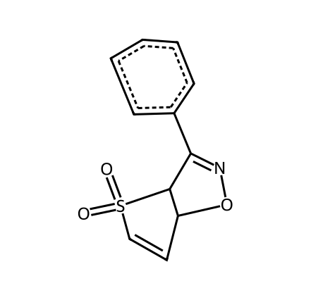 O=S1(=O)C=CC2ON=C(c3ccccc3)C21